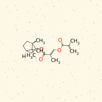 C=C(C)C(=O)OC=C(C)C(=O)OC1C[C@H]2CC[C@@]1(C)C2(C)C